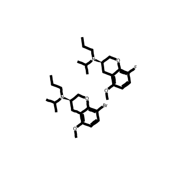 CCCN(C(C)C)[C@H]1COc2c(Br)ccc(OC)c2C1.CCCN(C(C)C)[C@H]1COc2c(F)ccc(OC)c2C1